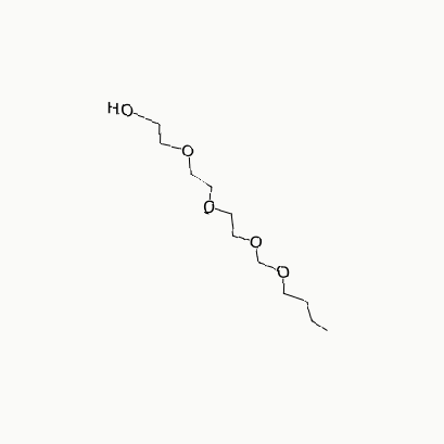 CCCCOCOCCOCCOCCO